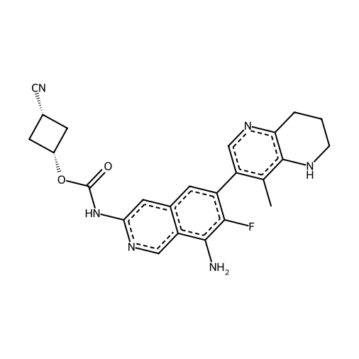 Cc1c(-c2cc3cc(NC(=O)O[C@H]4C[C@@H](C#N)C4)ncc3c(N)c2F)cnc2c1NCCC2